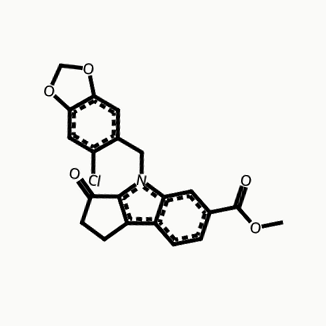 COC(=O)c1ccc2c3c(n(Cc4cc5c(cc4Cl)OCO5)c2c1)C(=O)CC3